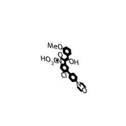 COc1cccc(C(O)=C2C(=O)N(C(=O)O)c3cc(Cl)c(-c4ccc(N5CCOCC5)cc4)cc32)c1